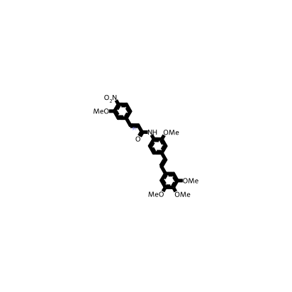 COc1cc(C=Cc2cc(OC)c(OC)c(OC)c2)ccc1NC(=O)/C=C/c1ccc([N+](=O)[O-])c(OC)c1